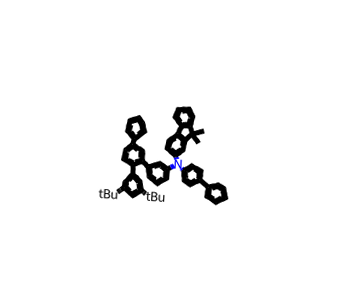 CC(C)(C)c1cc(-c2ccc(-c3ccccc3)cc2-c2cccc(N(c3ccc(-c4ccccc4)cc3)c3ccc4c(c3)C(C)(C)c3ccccc3-4)c2)cc(C(C)(C)C)c1